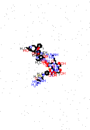 CCC1(O)CC2CN(CCc3c([nH]c4ccccc34)[C@](C(=O)OC)(c3cc4c(cc3OC)N(C)[C@@H]3[C@](O)(C(=O)NNC(=O)OCCSSC[C@H](NC(=O)[C@H](CC(=O)O)NC(=O)[C@H](CC(=O)O)NC(=O)[C@H](CCCNC(=N)N)NC(=O)[C@H](CC(=O)O)NC(=O)CC[C@@H](C)NC(=O)c5ccc(N(C)CC6(S)CNc7nc(N)[nH]c(=O)c7N6C)cc5)C(=O)O)[C@@H](O)[C@@]5(CC)C=CCN6CC[C@@]43[C@H]65)C2)C1